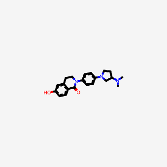 CN(C)C1CCN(c2ccc(N3CCc4cc(O)ccc4C3=O)cc2)C1